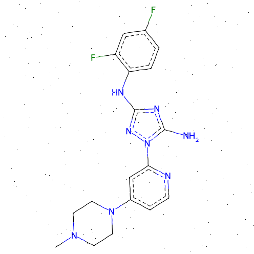 CN1CCN(c2ccnc(-n3nc(Nc4ccc(F)cc4F)nc3N)c2)CC1